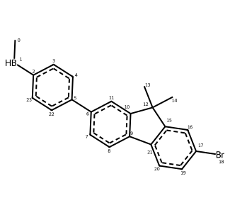 CBc1ccc(-c2ccc3c(c2)C(C)(C)c2cc(Br)ccc2-3)cc1